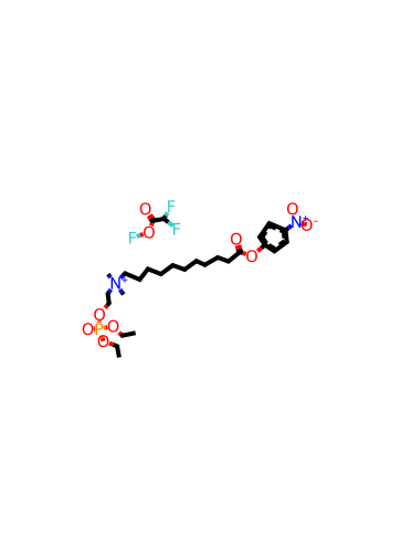 CCOP(=O)(OCC)OCC[N+](C)(C)CCCCCCCCCCC(=O)Oc1ccc([N+](=O)[O-])cc1.O=C(OF)C(F)F